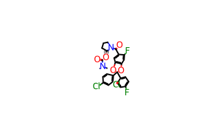 CN(C)C(=O)O[C@@H]1CCCN1C(=O)c1cc2c(cc1F)OC(c1ccc(F)cc1)(c1ccc(Cl)cc1Cl)O2